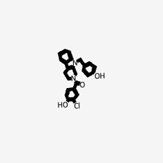 O=C(c1ccc(O)c(Cl)c1)N1CCc2c(n(Cc3ccc(O)cc3)c3ccccc23)C1